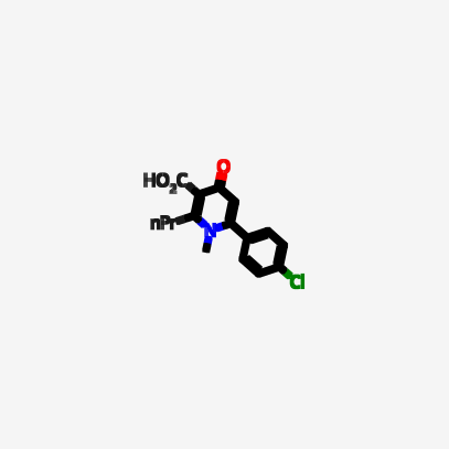 CCCc1c(C(=O)O)c(=O)cc(-c2ccc(Cl)cc2)n1C